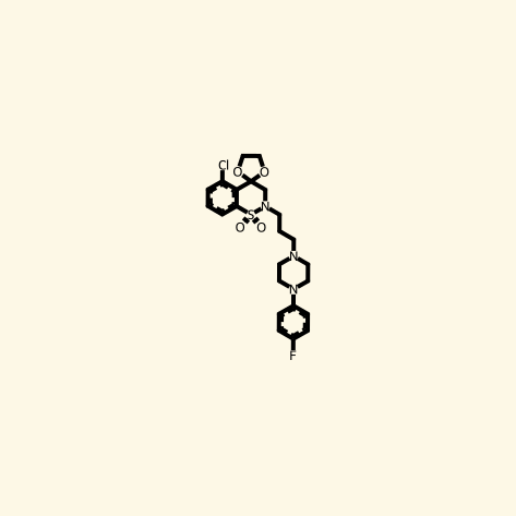 O=S1(=O)c2cccc(Cl)c2C2(CN1CCCN1CCN(c3ccc(F)cc3)CC1)OCCO2